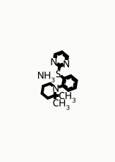 CC1(C)CCCCN1c1ccccc1Sc1ncccn1.N